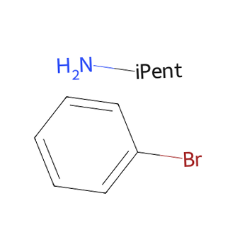 Brc1ccccc1.CCCC(C)N